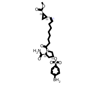 Bc1ccc(S(=O)(=O)O[C@H]2C[C@@H](C(N)=O)N(C(=O)CCCCCC/C=C\[C@@H]3C[C@@H]3C(=O)OC)C2)cc1